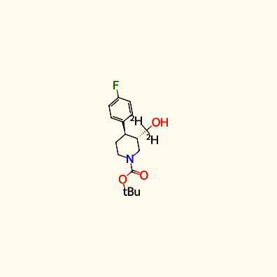 [2H]C([2H])(O)[C@@H]1CN(C(=O)OC(C)(C)C)CC[C@H]1c1ccc(F)cc1